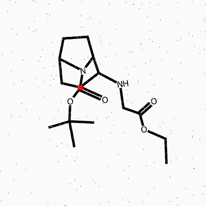 CCOC(=O)CNC1CCC2CCC1N2C(=O)OC(C)(C)C